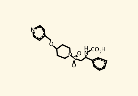 O=C(O)NC(CS(=O)(=O)N1CCC(OCc2ccncc2)CC1)c1ccccc1